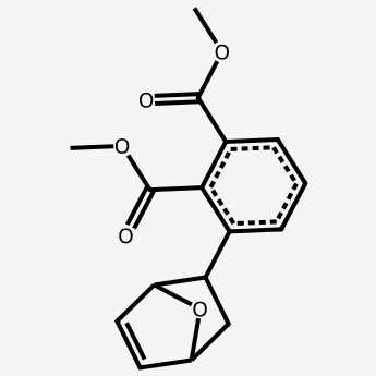 COC(=O)c1cccc(C2CC3C=CC2O3)c1C(=O)OC